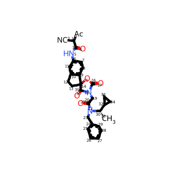 CC(=O)C(C#N)C(=O)Nc1ccc2c(c1)CCC21OC(=O)N(CC(=O)N(Cc2ccccc2)[C@@H](C)C2CC2)C1=O